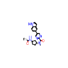 CCC(=O)N[C@H]1CC[C@@H](N(C)C(=O)c2ncc(-c3ccc4[nH]ccc4c3)cn2)C1